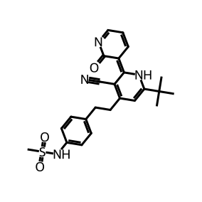 CC(C)(C)C1=CC(CCc2ccc(NS(C)(=O)=O)cc2)=C(C#N)C(=C2C=CC=NC2=O)N1